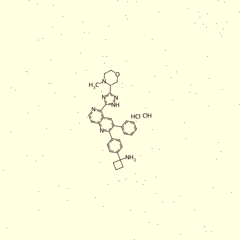 CN1CCOCC1c1n[nH]c(-c2nccc3nc(-c4ccc(C5(N)CCC5)cc4)c(-c4ccccc4)cc23)n1.Cl.Cl